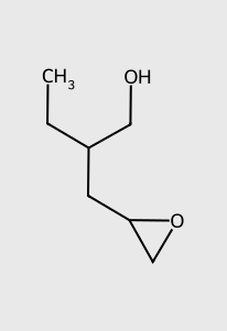 CCC(CO)CC1CO1